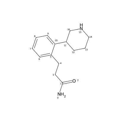 NC(=O)CCc1ccccc1C1CCCNC1